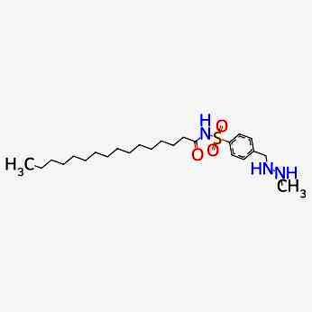 CCCCCCCCCCCCCCCC(=O)NS(=O)(=O)c1ccc(CNNC)cc1